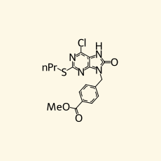 CCCSc1nc(Cl)c2[nH]c(=O)n(Cc3ccc(C(=O)OC)cc3)c2n1